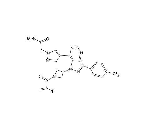 C=C(F)C(=O)N1CC(n2nc(-c3ccc(C(F)(F)F)cc3)c3nccc(-c4cnn(CC(=O)NC)c4)c32)C1